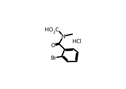 CN(C(=O)O)C(=O)c1ccccc1Br.Cl